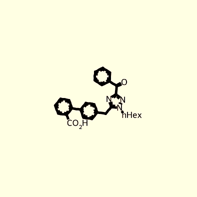 CCCCCCn1nc(C(=O)c2ccccc2)nc1Cc1ccc(-c2ccccc2C(=O)O)cc1